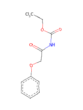 O=C(COc1ccccc1)NC(=O)OCC(Cl)(Cl)Cl